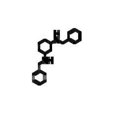 c1ccc(CNC2CCCC(NCc3ccccc3)C2)cc1